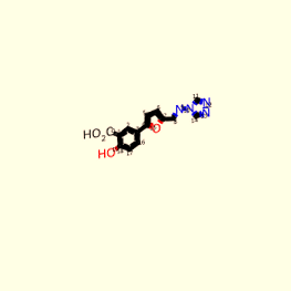 O=C(O)c1cc(-c2ccc(/C=N/n3cnnc3)o2)ccc1O